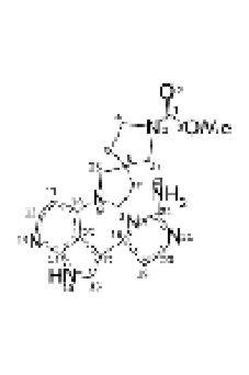 COC(=O)N1CCC2(CCN(c3ccnc4[nH]cc(-c5ccnc(N)n5)c34)C2)C1